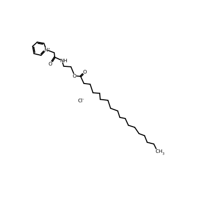 CCCCCCCCCCCCCCCCCC(=O)OCCNC(=O)C[n+]1ccccc1.[Cl-]